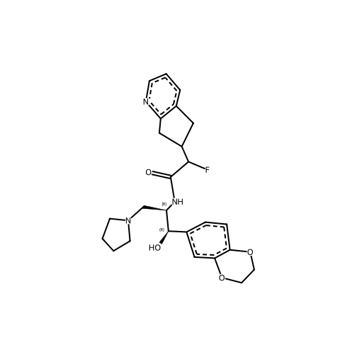 O=C(N[C@H](CN1CCCC1)[C@H](O)c1ccc2c(c1)OCCO2)C(F)C1Cc2cccnc2C1